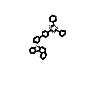 c1ccc(-c2nc(-c3ccccc3)nc(-c3ccc(-c4cccc(-n5c6ccccc6c6c7ccccc7ccc65)c4)cc3)n2)cc1